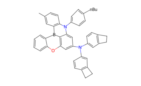 CCCCc1ccc(N2c3ccc(C)cc3B3c4ccccc4Oc4cc(N(c5ccc6c(c5)CC6)c5ccc6c(c5)CC6)cc2c43)cc1